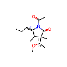 CC/C=C1\C(C)[C@@](C)([C@@H](C)OC)C(=O)N1C(C)=O